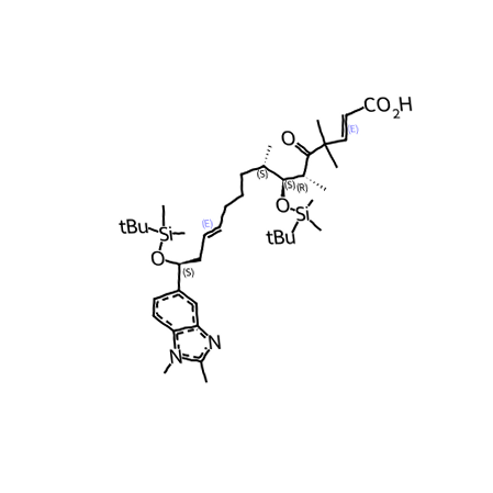 Cc1nc2cc([C@H](C/C=C/CCC[C@H](C)[C@H](O[Si](C)(C)C(C)(C)C)[C@@H](C)C(=O)C(C)(C)/C=C/C(=O)O)O[Si](C)(C)C(C)(C)C)ccc2n1C